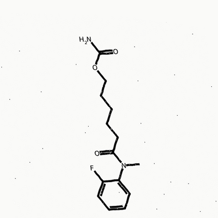 CN(C(=O)CCCCCOC(N)=O)c1ccccc1F